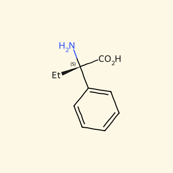 CC[C@@](N)(C(=O)O)c1ccccc1